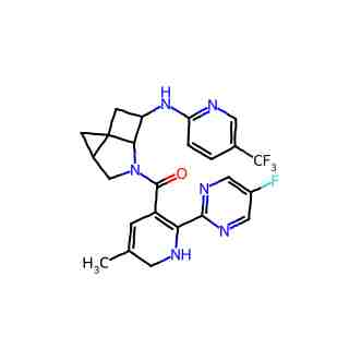 CC1=CC(C(=O)N2CC3CC34CC(Nc3ccc(C(F)(F)F)cn3)C24)=C(c2ncc(F)cn2)NC1